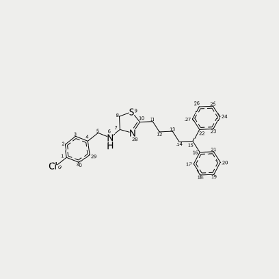 Clc1ccc(CNC2CSC(CCCCC(c3ccccc3)c3ccccc3)=N2)cc1